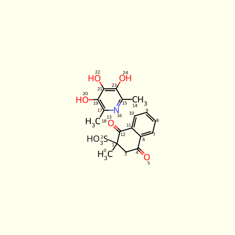 CC1(S(=O)(=O)O)CC(=O)c2ccccc2C1=O.Cc1nc(C)c(O)c(O)c1O